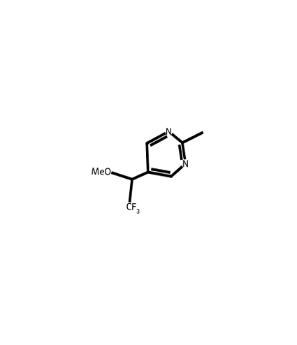 COC(c1cnc(C)nc1)C(F)(F)F